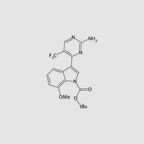 COc1cccc2c(-c3nc(N)ncc3C(F)(F)F)cn(C(=O)OC(C)(C)C)c12